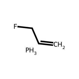 C=CCF.P